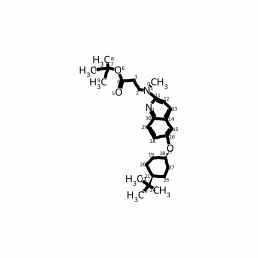 CN(CCC(=O)OC(C)(C)C)c1ccc2cc(O[C@H]3CC[C@H](C(C)(C)C)CC3)ccc2n1